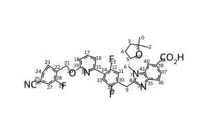 CC1(C)CC[C@@H](Cn2c(Cc3cc(F)c(-c4cccc(OCc5ccc(C#N)cc5F)n4)cc3F)nc3ccc(C(=O)O)cc32)O1